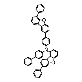 c1ccc(-c2ccc(N(c3ccc(-c4ccc5oc6c(-c7ccccc7)cccc6c5c4)cc3)c3cccc4oc5cc(-c6ccccc6)ccc5c34)cc2)cc1